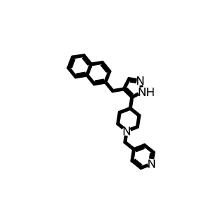 c1ccc2cc(Cc3cn[nH]c3C3CCN(Cc4ccncc4)CC3)ccc2c1